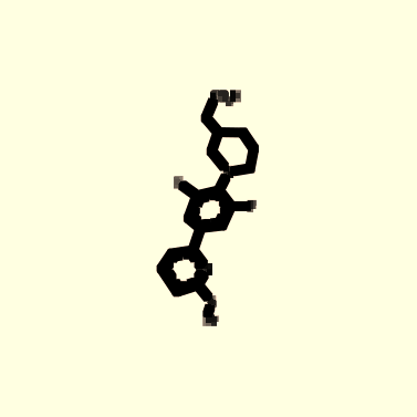 CC(C)Sc1cccc(-c2cc(F)c(N3CCCC(CC(=O)O)C3)c(F)c2)n1